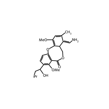 COC1=C2Oc3ccc(C(O)CC(C)C)c(OC)c3C(=O)OCC2C(=CN)C(C)=C1